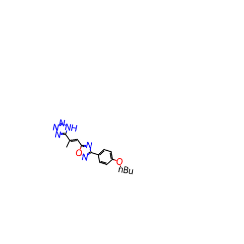 CCCCOc1ccc(-c2noc(/C=C(\C)c3nnn[nH]3)n2)cc1